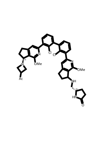 COc1nc(-c2cccc(-c3cccc(-c4cc5c(c(OC)n4)[C@@H](N4CC(C(C)=O)C4)CC5)c3Cl)c2Cl)cc2c1C(NC[C@@H]1CCC(=O)N1)CC2